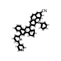 N#Cc1cc2ccc3cc(-c4cc5c6ccccc6c(-c6cccc(-c7ccncc7)n6)cc5c5ccccc45)cc4c3c2c(c1)n4-c1ccccc1